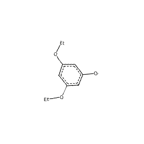 CCOc1cc([O])cc(OCC)c1